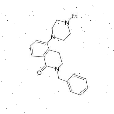 CCN1CCN(c2cccc3c2CCN(Cc2ccccc2)C3=O)CC1